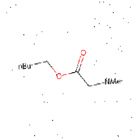 CCCCCOC(=O)C[N]C